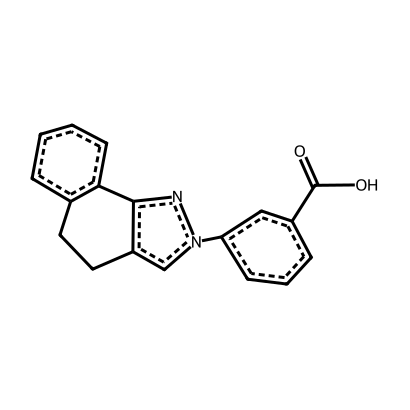 O=C(O)c1cccc(-n2cc3c(n2)-c2ccccc2CC3)c1